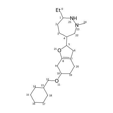 CCC1CCC(C2CC3=C(CC(OCC4CCCCC4)CC3)O2)CN(C)N1